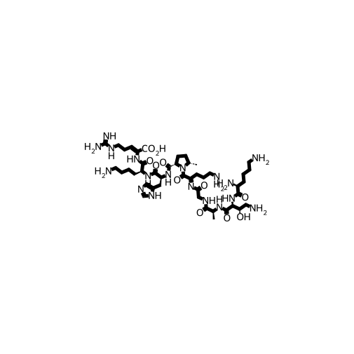 C[C@H](NC(=O)[C@@H](NC(=O)[C@@H](N)CCCCN)[C@@H](O)CN)C(=O)NCC(=O)/N=C(\CCCN)C(=O)N1[C@@H](C)CC[C@H]1C(=O)N[C@@H](Cc1cnc[nH]1)C(=O)N[C@@H](CCCCN)C(=O)N/C(=C\CCNC(=N)N)C(=O)O